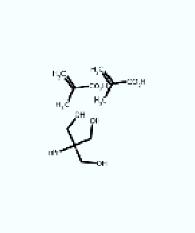 C=C(C)C(=O)O.C=C(C)C(=O)O.CCCC(CO)(CO)CO